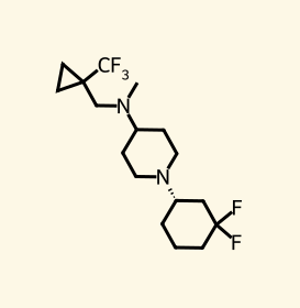 CN(CC1(C(F)(F)F)CC1)C1CCN([C@H]2CCCC(F)(F)C2)CC1